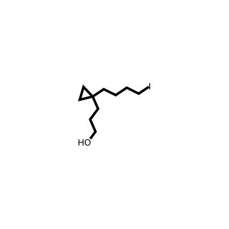 OCCCC1(CCCCI)CC1